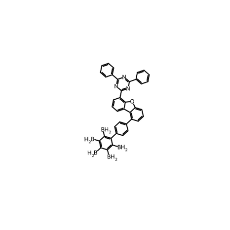 Bc1c(B)c(B)c(-c2ccc(-c3cccc4oc5c(-c6nc(-c7ccccc7)nc(-c7ccccc7)n6)cccc5c34)cc2)c(B)c1B